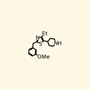 CCc1nc(Cc2cccc(OC)c2)sc1C1CCNCC1